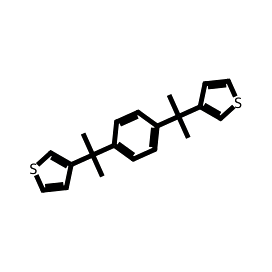 CC(C)(c1ccc(C(C)(C)c2ccsc2)cc1)c1ccsc1